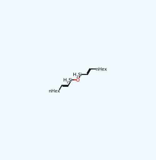 CCCCCCC=C[SiH2]O[SiH2]C=CCCCCCC